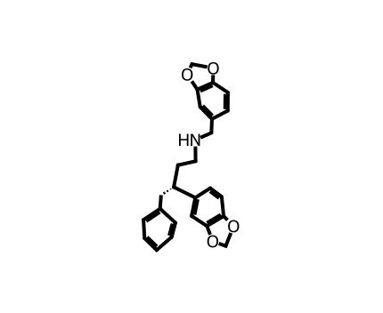 c1ccc(C[C@H](CCNCc2ccc3c(c2)OCO3)c2ccc3c(c2)OCO3)cc1